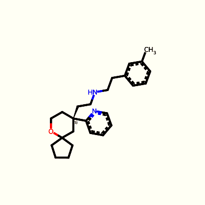 Cc1cccc(CCNCC[C@]2(c3ccccn3)CCOC3(CCCC3)C2)c1